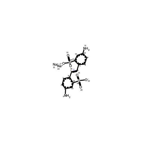 Nc1ccc(/C=C/c2ccc(N)cc2S(=O)(=O)[O-])c(S(=O)(=O)[O-])c1.[Na+].[Na+]